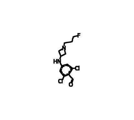 O=Cc1c(Cl)cc(NC2CN(CCCF)C2)cc1Cl